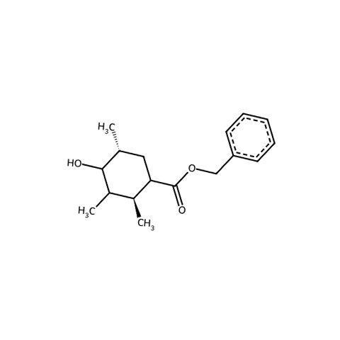 CC1C(O)[C@H](C)CC(C(=O)OCc2ccccc2)[C@H]1C